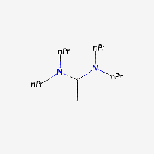 CCCN(CCC)[C](C)N(CCC)CCC